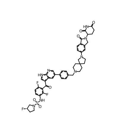 O=C1CCC(N2Cc3cc(N4CCC5(CCN(Cc6ccc(-c7cnc8[nH]cc(C(=O)c9c(F)ccc(NS(=O)(=O)N%10CC[C@@H](F)C%10)c9F)c8c7)cc6)CC5)C4)ccc3C2=O)C(=O)N1